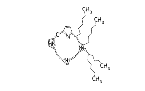 CCCCCCc1c(CCCCCC)c2c(CCCCCC)c3nc(cc4ccc(cc5nc(cc1n2CCCCCC)C=C5)[nH]4)C=C3